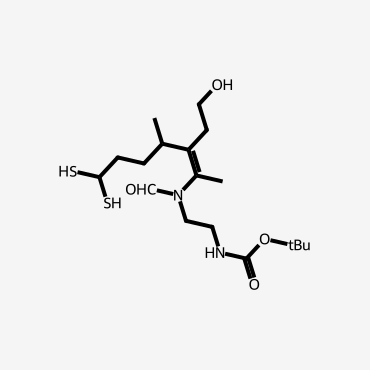 CC(=C(CCO)C(C)CCC(S)S)N(C=O)CCNC(=O)OC(C)(C)C